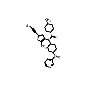 CC(C)(C)C#Cc1cc(N(C(=O)[C@H]2CC[C@H](C)CC2)C2CCC([S+]([O-])c3cccnc3)CC2)c(C(=O)O)s1